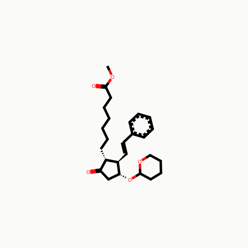 COC(=O)CCCCCC[C@H]1C(=O)C[C@@H](OC2CCCCO2)[C@@H]1/C=C/c1ccccc1